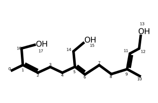 CC(=CCCC(=CCCC(C)=CCO)CO)CO